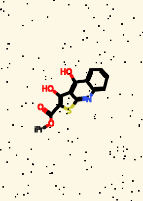 CC(C)OC(=O)c1sc2nc3ccccc3c(O)c2c1O